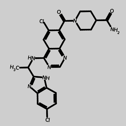 CC(Nc1ncnc2cc(C(=O)N3CCC(C(N)=O)CC3)c(Cl)cc12)c1nc2cc(Cl)ccc2[nH]1